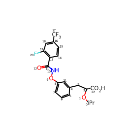 CC(C)OC(Cc1cccc(ONC(=O)c2ccc(C(F)(F)F)cc2F)c1)C(=O)O